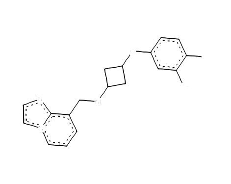 FC(F)(F)c1cc(OC2CC(NCc3cccn4ccnc34)C2)ccc1Cl